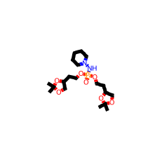 CC1(C)OCC(CCOP(=O)(NN2CCCCC2)OCCC2COC(C)(C)O2)O1